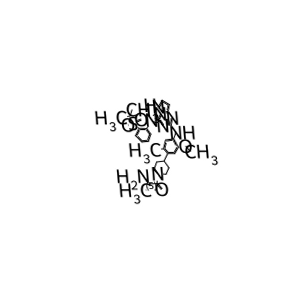 COc1cc(C2CCN(C(=O)[C@H](C)N)CC2)c(C)cc1Nc1nc(Nc2ccccc2S(=O)(=O)C(C)C)n2nccc2n1